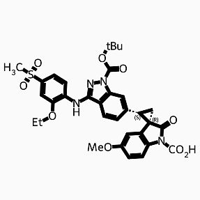 CCOc1cc(S(C)(=O)=O)ccc1Nc1nn(C(=O)OC(C)(C)C)c2cc([C@@H]3C[C@@]34C(=O)N(C(=O)O)c3ccc(OC)cc34)ccc12